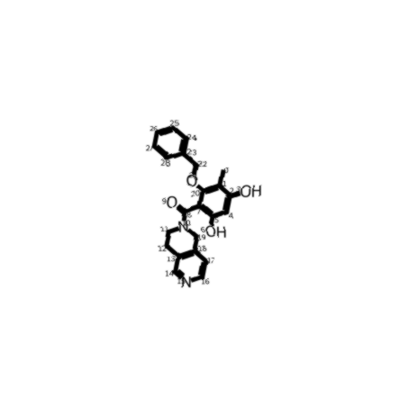 Cc1c(O)cc(O)c(C(=O)N2CCc3cnccc3C2)c1OCc1ccccc1